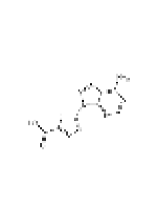 Nc1ncnc2c1cnn2-c1ncc(C(=O)O)s1